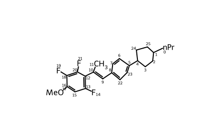 CCCC1CCC(c2ccc(C=C(C)c3c(F)cc(OC)c(F)c3F)cc2)CC1